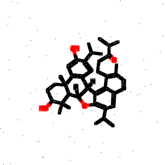 Cc1ccc2cc(C(C)C)c3c(c2c1CCC(=O)C(C)C)[C@H]1c2cc(C(C)C)c(O)cc2[C@@]2(C)CC[C@H](O)C(C)(C)C2[C@H]1O3